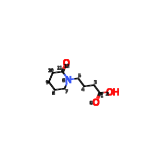 O=C(O)CCCN1CCCCC1=O